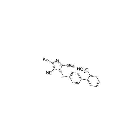 CCCCc1nc(C(C)=O)c(C#N)n1Cc1ccc(-c2ccccc2C(=O)O)cc1